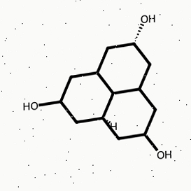 OC1CC2C[C@H](O)CC3CC(O)C[C@@H](C1)C23